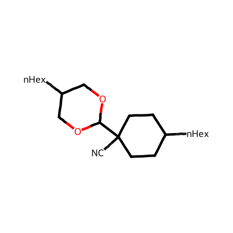 CCCCCCC1CCC(C#N)(C2OCC(CCCCCC)CO2)CC1